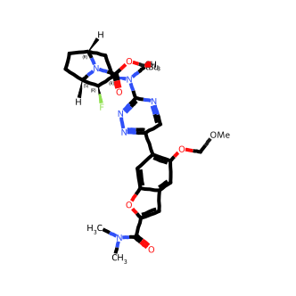 COCOc1cc2cc(C(=O)N(C)C)oc2cc1-c1cnc(N(C)[C@@H]2C[C@H]3CC[C@@H]([C@@H]2F)N3C(=O)OC(C)(C)C)nn1